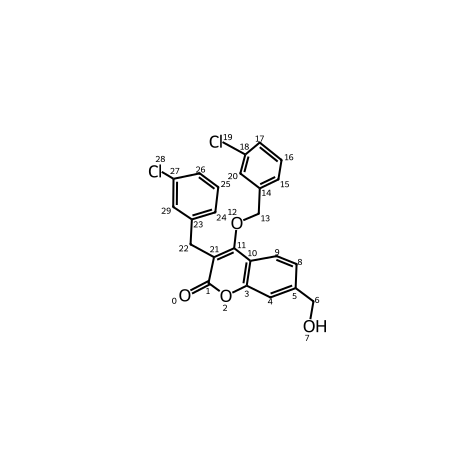 O=c1oc2cc(CO)ccc2c(OCc2cccc(Cl)c2)c1Cc1cccc(Cl)c1